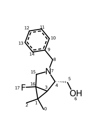 CC1(C)C2[C@@H](CO)N(Cc3ccccc3)CC21F